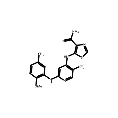 CNC(=O)c1ncsc1Nc1cc(Nc2cc(C)ccc2OC)ncc1C(F)(F)F